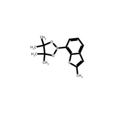 Cc1cc2cccc(B3OC(C)(C)C(C)(C)O3)c2s1